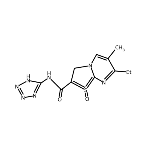 CCC1=NC2=S(=O)=C(C(=O)Nc3nnn[nH]3)CN2C=C1C